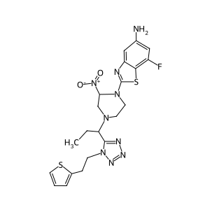 CCC(c1nnnn1CCc1cccs1)N1CCN(c2nc3cc(N)cc(F)c3s2)C([N+](=O)[O-])C1